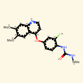 CNNC(=O)Nc1ccc(Oc2ccnc3cc(OC)c(OC)cc23)cc1F